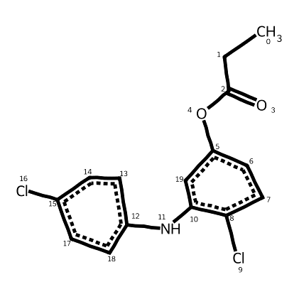 CCC(=O)Oc1ccc(Cl)c(Nc2ccc(Cl)cc2)c1